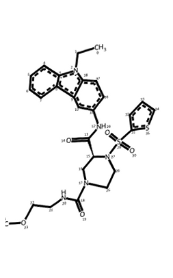 CCn1c2ccccc2c2cc(NC(=O)[C@@H]3CN(C(=O)NCCOC)CCN3S(=O)(=O)c3cccs3)ccc21